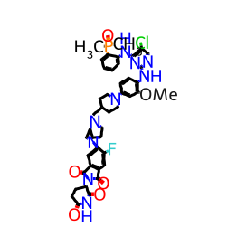 COc1cc(N2CCC(CN3CC4CC3CN4c3cc4c(cc3F)C(=O)N(C3CCC(=O)NC3=O)C4=O)CC2)ccc1Nc1ncc(Cl)c(Nc2ccccc2P(C)(C)=O)n1